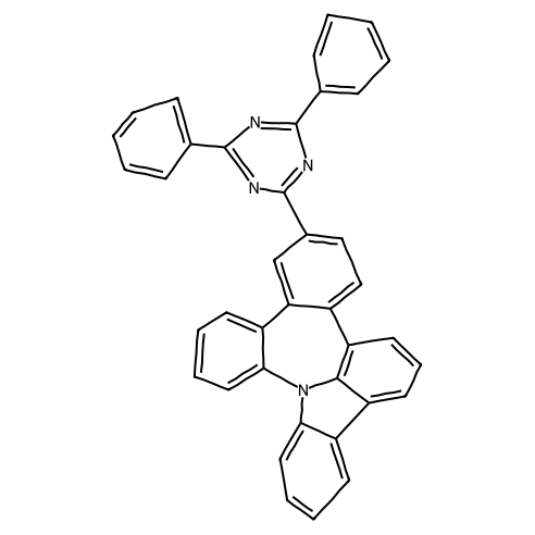 c1ccc(-c2nc(-c3ccccc3)nc(-c3ccc4c(c3)-c3ccccc3-n3c5ccccc5c5cccc-4c53)n2)cc1